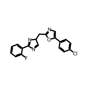 Fc1ccccc1C1=NC(Cc2ncc(-c3ccc(Cl)cc3)o2)C=N1